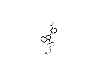 NCCNS(=O)(=O)c1cc(-c2cccc(C(F)F)c2)cc2cnccc12